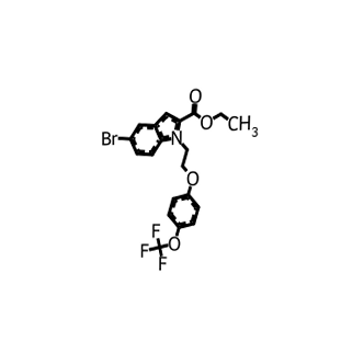 CCOC(=O)c1cc2cc(Br)ccc2n1CCOc1ccc(OC(F)(F)F)cc1